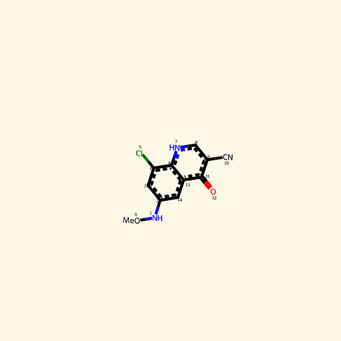 CONc1cc(Cl)c2[nH]cc(C#N)c(=O)c2c1